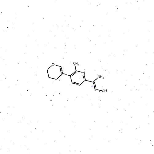 Cc1nc(/C(N)=N/O)ccc1C1=COCCC1